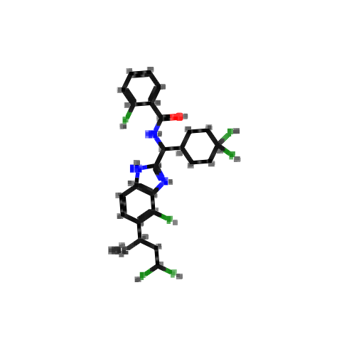 O=C(NC(c1nc2c(F)c(C(CC(F)F)C(=O)O)ccc2[nH]1)C1CCC(F)(F)CC1)c1ccccc1F